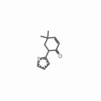 CC1(C)C=CC(=O)C(c2cccs2)C1